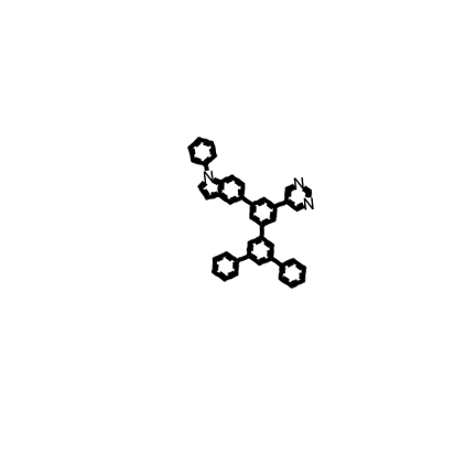 c1ccc(-c2cc(-c3ccccc3)cc(-c3cc(-c4cncnc4)cc(-c4ccc5c(ccn5-c5ccccc5)c4)c3)c2)cc1